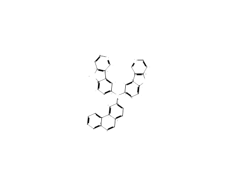 c1ccc2c(c1)ccc1ccc(N(c3ccc4oc5ccncc5c4c3)c3ccc4oc5ccncc5c4c3)cc12